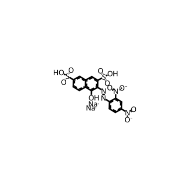 O=[N+]([O-])c1ccc(N=Nc2c(S(=O)(=O)O)cc3cc(S(=O)(=O)O)ccc3c2O)c([N+](=O)[O-])c1.[Na].[Na]